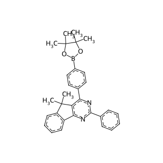 CC1(C)c2ccccc2-c2nc(-c3ccccc3)nc(-c3ccc(B4OC(C)(C)C(C)(C)O4)cc3)c21